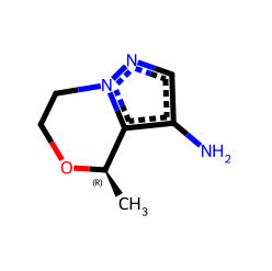 C[C@H]1OCCn2ncc(N)c21